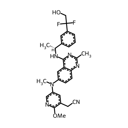 COc1ncc(N(C)c2ccc3nc(C)nc(N[C@H](C)c4cccc(C(F)(F)CO)c4)c3c2)cc1CC#N